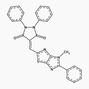 Cn1c(-c2ccccc2)nc2sc(C=C3C(=O)N(c4ccccc4)N(c4ccccc4)C3=O)nc21